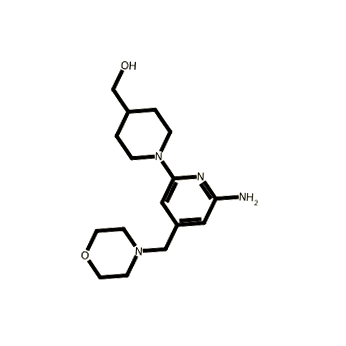 Nc1cc(CN2CCOCC2)cc(N2CCC(CO)CC2)n1